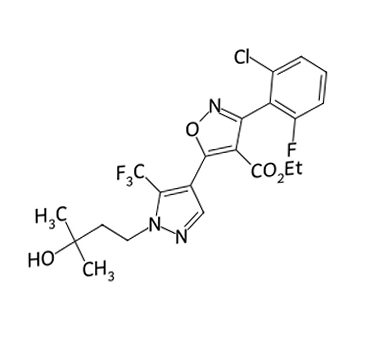 CCOC(=O)c1c(-c2c(F)cccc2Cl)noc1-c1cnn(CCC(C)(C)O)c1C(F)(F)F